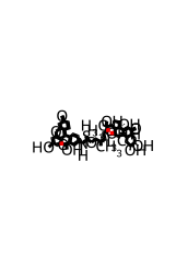 CC(CC[C@@H](O)[C@](C)(O)[C@H]1CC[C@@]2(O)C3=CC(=O)[C@@H]4C[C@@H](O)[C@@H](O)C[C@]4(C)C3CC[C@]12C)COC(=S)Nc1ccc(-c2c3ccc(=O)cc-3oc3cc(O)ccc23)c(C(=O)O)c1